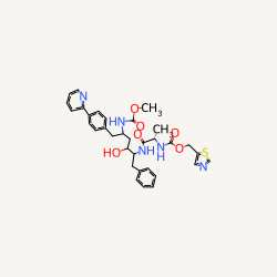 COC(=O)NC(Cc1ccc(-c2ccccn2)cc1)CC(O)C(Cc1ccccc1)NC(=O)[C@H](C)NC(=O)OCc1cncs1